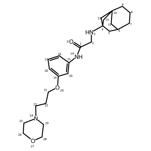 O=C(CNC12CC3CCCC(C3)(C1)C2)Nc1cccc(OCCCN2CCOCC2)c1